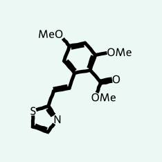 COC(=O)c1c(C=Cc2nccs2)cc(OC)cc1OC